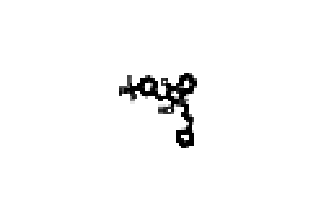 O=c1c(Cc2cccc(C(F)(F)F)c2)c(O)[n+](CC=Cc2ccccc2)c2ccccn12